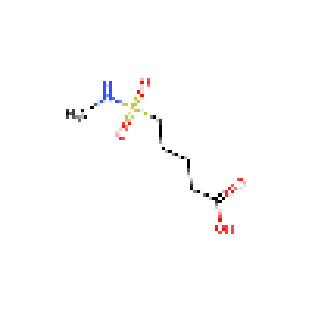 CNS(=O)(=O)CCCCC(=O)O